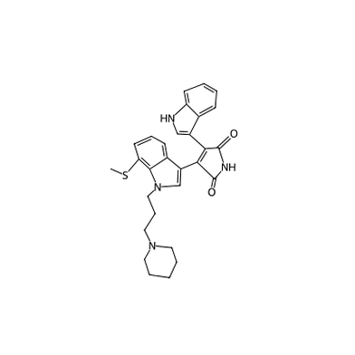 CSc1cccc2c(C3=C(c4c[nH]c5ccccc45)C(=O)NC3=O)cn(CCCN3CCCCC3)c12